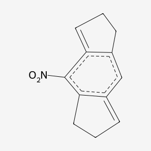 O=[N+]([O-])c1c2c(cc3c1=CCC3)=CCC2